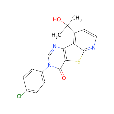 CC(C)(O)c1ccnc2sc3c(=O)n(-c4ccc(Cl)cc4)cnc3c12